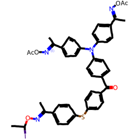 CC(=O)ON=C(C)c1ccc(N(c2ccc(C(=O)c3ccc(Sc4ccc(C(C)=NOC(C)I)cc4)cc3)cc2)c2ccc(/C(C)=N/OC(C)=O)cc2)cc1